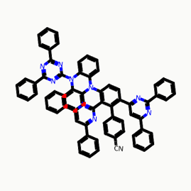 N#Cc1ccc(-c2c(-c3cc(-c4ccccc4)nc(-c4ccccc4)n3)ccc(N3c4ccccc4N(c4nc(-c5ccccc5)nc(-c5ccccc5)n4)c4ccccc43)c2-c2nc(-c3ccccc3)cc(-c3ccccc3)n2)cc1